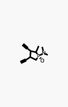 C#CC1CP(=O)(N(C)C)C(C)C1C#C